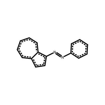 c1ccc(N=Nc2ccc3cccccc2-3)cc1